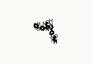 CN(C(=O)n1cncn1)C1CCC(C2CCNc3c(C(N)=O)c(-c4ccc(Oc5ccccc5)cc4)nn32)CC1